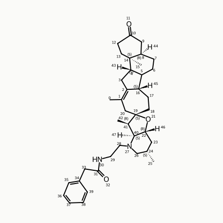 CC1=C2C[C@H]3C(CC[C@@H]4CC(=O)CC[C@@]43C)[C@@H]2CC[C@@]2(C1)O[C@@H]1C[C@H](C)CN(CCNC(=O)Cc3ccccc3)[C@H]1[C@H]2C